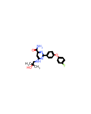 CC(C)(O)CNc1cc(C(N)=O)nc(-c2ccc(Oc3ccc(F)cc3)cc2)n1